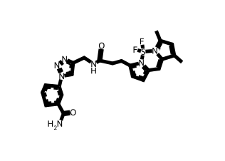 CC1=CC(C)=[N+]2C1=Cc1ccc(CCC(=O)NCc3cn(-c4cccc(C(N)=O)c4)nn3)n1S2(F)F